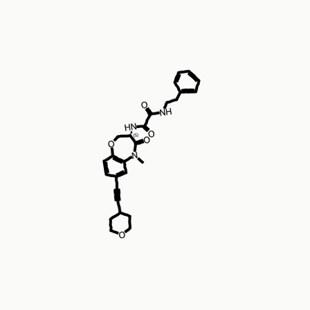 CN1C(=O)[C@@H](NC(=O)C(=O)NCCc2ccccc2)COc2ccc(C#CC3CCOCC3)cc21